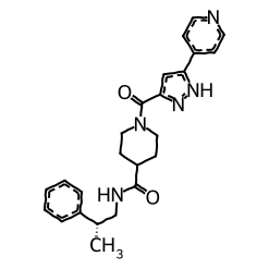 C[C@@H](CNC(=O)C1CCN(C(=O)c2cc(-c3ccncc3)[nH]n2)CC1)c1ccccc1